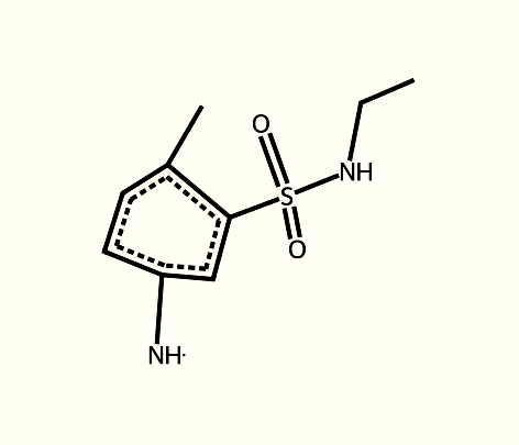 CCNS(=O)(=O)c1cc([NH])ccc1C